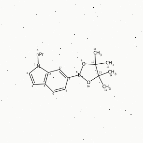 CCCn1ccc2ccc(B3OC(C)(C)C(C)(C)O3)cc21